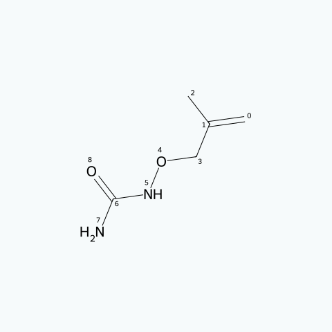 C=C(C)CONC(N)=O